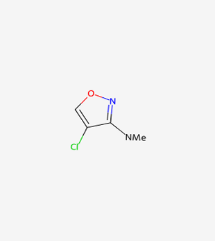 CNc1nocc1Cl